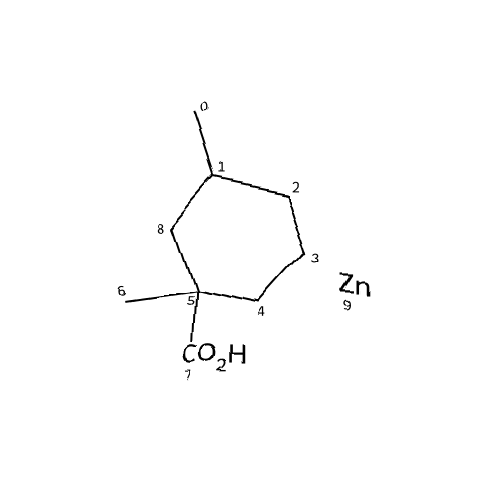 CC1CCCC(C)(C(=O)O)C1.[Zn]